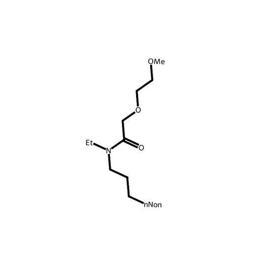 CCCCCCCCCCCCN(CC)C(=O)COCCOC